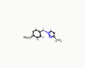 [CH2]c1ccn(Cc2ccc(OC)cc2)n1